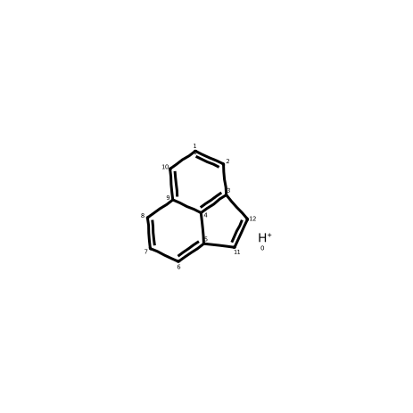 [H+].[c]1cc2c3c(cccc3c1)C=C2